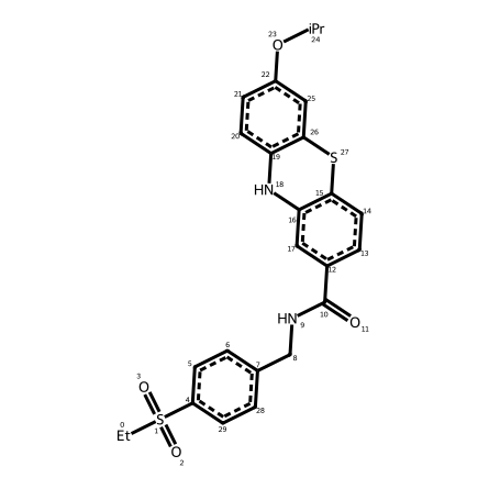 CCS(=O)(=O)c1ccc(CNC(=O)c2ccc3c(c2)Nc2ccc(OC(C)C)cc2S3)cc1